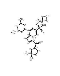 C[C@H]1CN(c2cc(S(=O)(=O)NC3(C)COC3)cn3c(C(=O)N4CC[C@@](O)(C(F)(F)F)C4)ncc23)C[C@H](C)O1